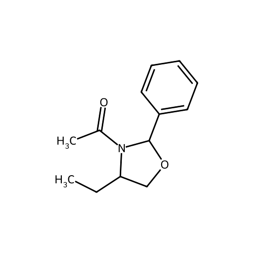 CCC1COC(c2ccccc2)N1C(C)=O